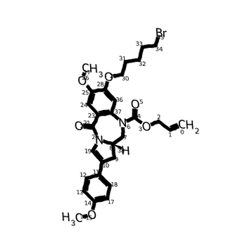 C=CCOC(=O)N1C[C@@H]2CC(c3ccc(OC)cc3)=CN2C(=O)c2cc(OC)c(OCCCCCBr)cc21